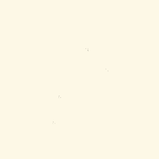 c1ccc(-c2cc(-c3cccc(-c4cc(-c5ccccc5)nc(-c5cc(-c6ccccc6)nc6ccccc56)c4)c3)cc(-c3cc(-c4ccccc4)nc4ccccc34)n2)cc1